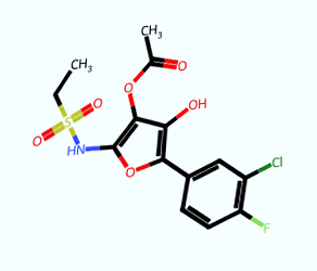 CCS(=O)(=O)Nc1oc(-c2ccc(F)c(Cl)c2)c(O)c1OC(C)=O